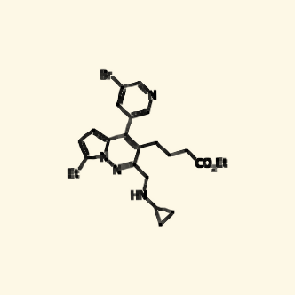 CCOC(=O)CCCc1c(CNC2CC2)nn2c(CC)ccc2c1-c1cncc(Br)c1